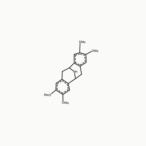 COc1cc2c(cc1OC)C1Cc3cc(OC)c(OC)cc3C(C2)N1